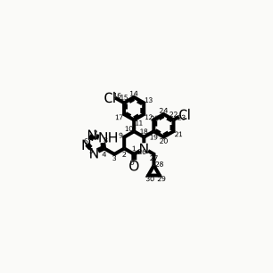 O=C1C(Cc2nnn[nH]2)CC(c2cccc(Cl)c2)C(c2ccc(Cl)cc2)N1CC1CC1